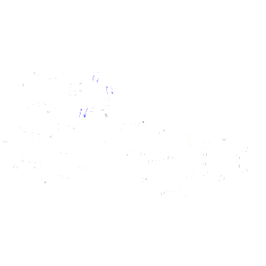 c1ccc2c(-c3cn4c(-c5ccc(-c6cccc7c6sc6ccccc67)cc5)nnc4c4ccccc34)cccc2c1